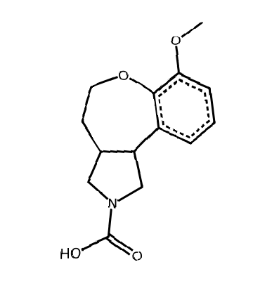 COc1cccc2c1OCCC1CN(C(=O)O)CC21